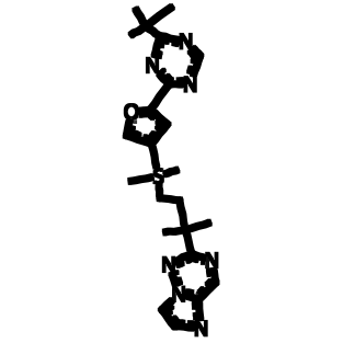 CC(C)(C)c1ncnc(-c2cc(S(C)(C)CCC(C)(C)c3ncc4nccn4n3)co2)n1